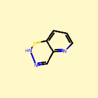 C1=NNSc2cccnc21